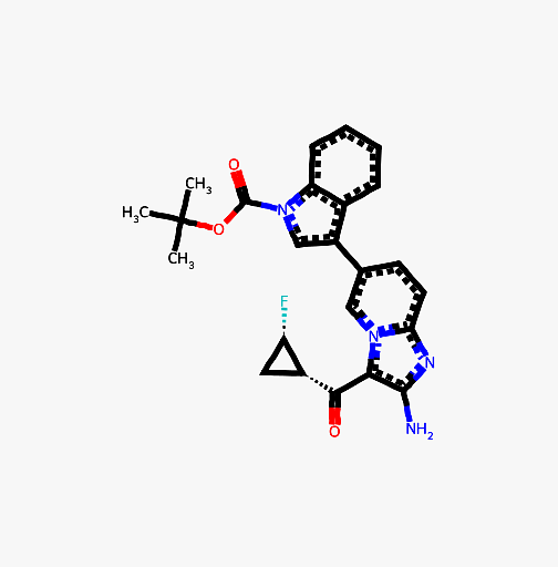 CC(C)(C)OC(=O)n1cc(-c2ccc3nc(N)c(C(=O)[C@@H]4C[C@@H]4F)n3c2)c2ccccc21